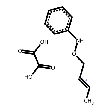 C/C=C/CONc1ccccc1.O=C(O)C(=O)O